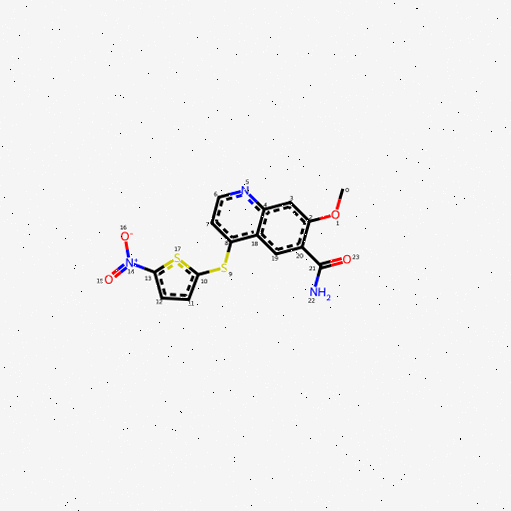 COc1cc2nccc(Sc3ccc([N+](=O)[O-])s3)c2cc1C(N)=O